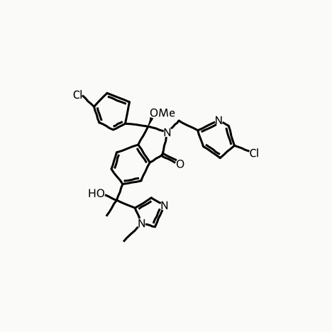 CO[C@]1(c2ccc(Cl)cc2)c2ccc(C(C)(O)c3cncn3C)cc2C(=O)N1Cc1ccc(Cl)cn1